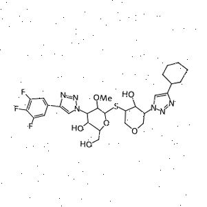 COC1C(SC2COCC(n3cc(C4CCCCC4)nn3)C2O)OC(CO)C(O)C1n1cc(-c2cc(F)c(F)c(F)c2)nn1